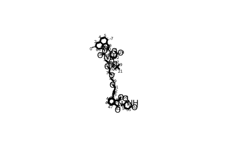 C[C@H]1C=C2C=C[C@H](C)C(CC[C@@H]3C[C@@H](O[Si](C)(C)C(C)(C)C)CC(=O)O3)[C@H]2[C@@H](OC(=O)NCCOCCOCCOCC#Cc2cccc3c2C(=O)N(C2CCC(=O)NC2=O)C3=O)C1